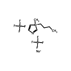 CCCC[N+]1(C)C=CN=C1.F[B-](F)(F)F.F[B-](F)(F)F.[Na+]